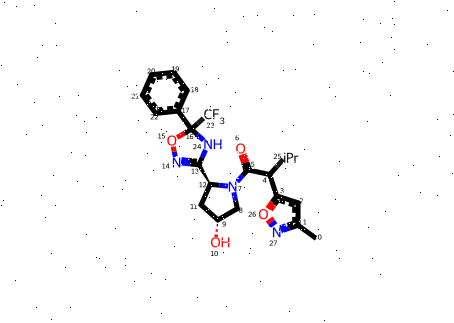 Cc1cc(C(C(=O)N2C[C@H](O)C[C@H]2C2=NOC(c3ccccc3)(C(F)(F)F)N2)C(C)C)on1